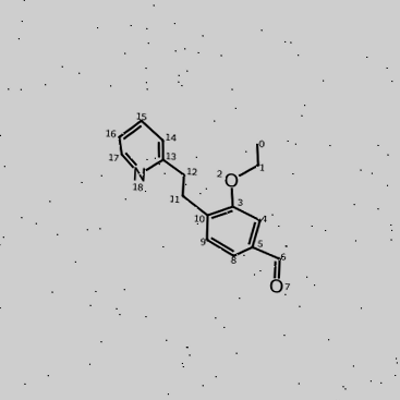 CCOc1cc(C=O)ccc1CCc1ccccn1